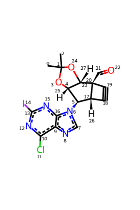 CC1(C)O[C@H]2[C@H](n3cnc4c(Cl)nc(I)nc43)[C@H]3C#C[C@@]3(C=O)[C@H]2O1